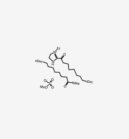 CCCCCCCCCCCCCCCCCC(=O)C1=[N+](CC)CCN1.CCCCCCCCCCCCCCCCCC(=O)NC.COS(=O)(=O)[O-]